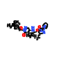 CC(CONC(=O)CN1C2CCC1CN(c1ncc(C(F)(F)F)cn1)C2)Nc1cnn(COCC[Si](C)(C)C)c(=O)c1C(F)(F)F